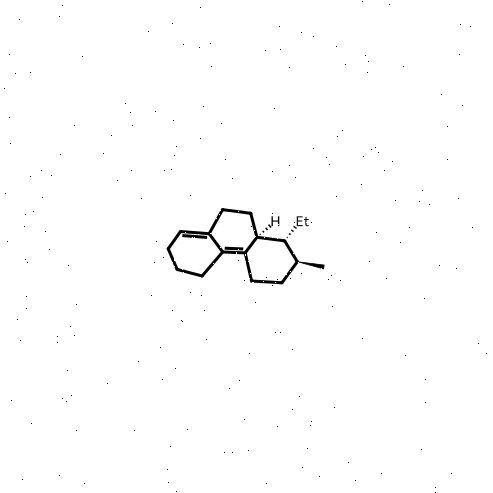 CC[C@H]1[C@@H]2CCC3=CCCCC3=C2CC[C@@H]1C